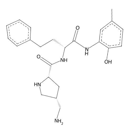 Cc1ccc(O)c(NC(=O)[C@@H](CCc2ccccc2)NC(=O)[C@@H]2C[C@H](CN)CN2)c1